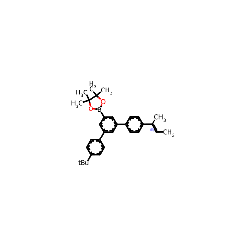 C/C=C(\C)c1ccc(-c2cc(B3OC(C)(C)C(C)(C)O3)cc(-c3ccc(C(C)(C)C)cc3)c2)cc1